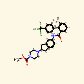 COC(=O)N1CCN(C2Cc3ccc(NC(=O)c4cccc(C)c4-c4ccc(C(F)(F)F)cc4)cc3C2)CC1